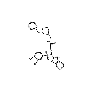 O=C(COC(C1Cc2ccccc2N1)S(=O)(=O)c1ccc(Cl)c(Cl)c1)NCC1CCCN(Cc2ccccc2)C1